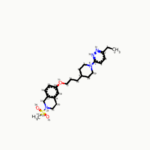 CCc1ccc(N2CCC(CCCOc3ccc4c(c3)CCN(S(C)(=O)=O)C4)CC2)nn1